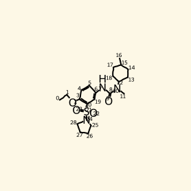 CCOc1ccc(NC(=O)N(C)C2CCC(C)CC2)cc1S(=O)(=O)N1CCCC1